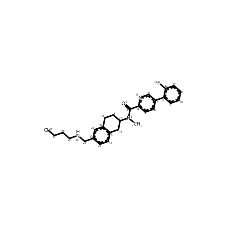 CN(C(=O)c1ccc(-c2ccccc2F)cn1)C1CCc2cc(CNCCCCl)ccc2C1